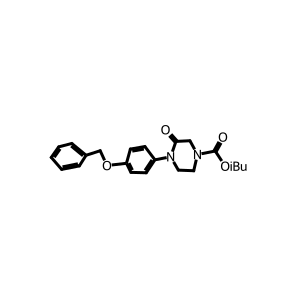 CC(C)COC(=O)N1CCN(c2ccc(OCc3ccccc3)cc2)C(=O)C1